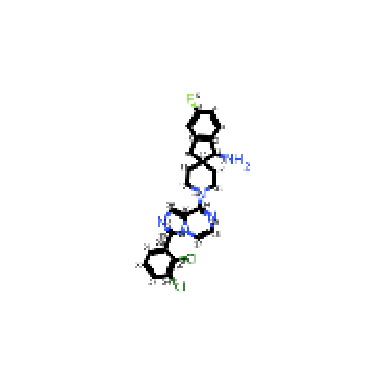 NC1c2ccc(F)cc2CC12CCN(c1nccn3c(-c4cccc(Cl)c4Cl)ncc13)CC2